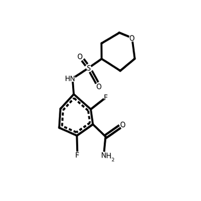 NC(=O)c1c(F)ccc(NS(=O)(=O)C2CCOCC2)c1F